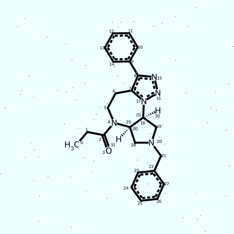 CCC(=O)N1CCc2c(-c3ccccc3)nnn2[C@H]2CN(Cc3ccccc3)C[C@H]21